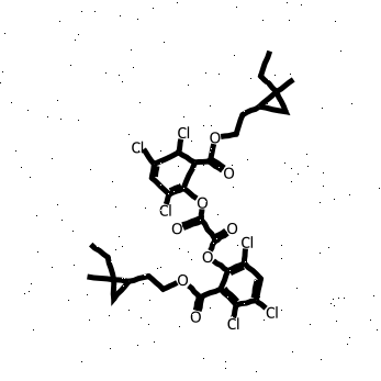 CCC1(C)CC1CCOC(=O)c1c(Cl)c(Cl)cc(Cl)c1OC(=O)C(=O)OC1=C(Cl)C=C(Cl)C(Cl)C1C(=O)OCCC1CC1(C)CC